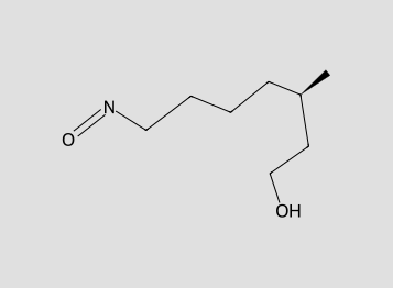 C[C@@H](CCO)CCCCN=O